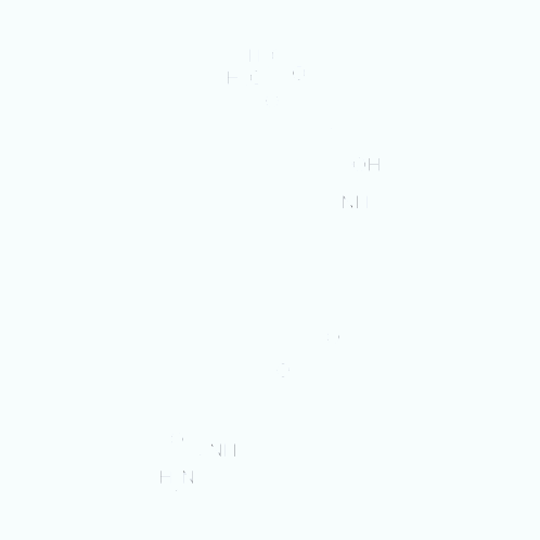 CC1(C)OCc2cc([C@H](O)CNCCc3ccc(OCCOCc4cccc(NC(N)=O)c4)cc3)ccc2O1